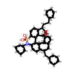 O=S1(=O)c2ccc3c(c2-c2c(ccc4c(Cc5ccccc5)cc5ccccc5c24)N1c1ccccc1)-c1ccccc1C3CCc1ccccc1